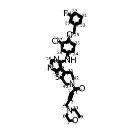 O=C(C#CCN1CCOCC1)N1CCc2c(sc3ncnc(Nc4ccc(OCc5cccc(F)c5)c(Cl)c4)c23)C1